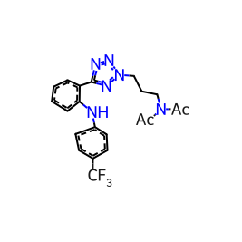 CC(=O)N(CCCn1nnc(-c2ccccc2Nc2ccc(C(F)(F)F)cc2)n1)C(C)=O